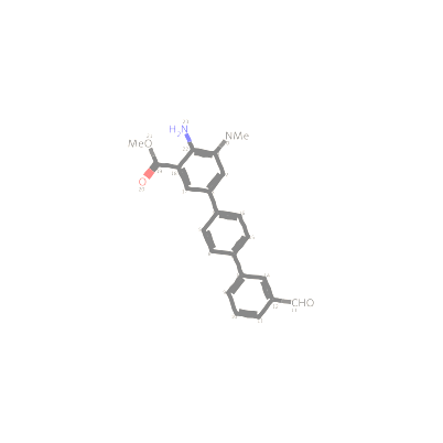 CNc1cc(-c2ccc(-c3cccc(C=O)c3)cc2)cc(C(=O)OC)c1N